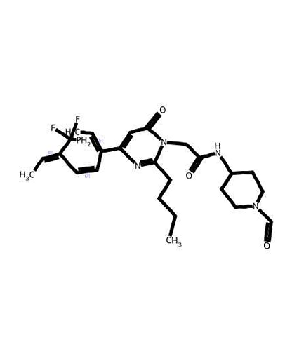 C\C=C(/C=C\C(=C/C)C(F)(F)P)c1cc(=O)n(CC(=O)NC2CCN(C=O)CC2)c(CCCC)n1